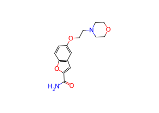 NC(=O)c1cc2cc(OCCN3CCOCC3)ccc2o1